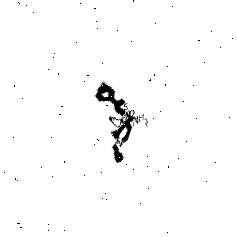 C#CCN1CCC(C(N)=O)(S(=O)(=O)c2cc(-c3ccccc3)cs2)CC1